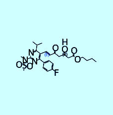 CCCCOC(=O)C[C@H](O)CC(=O)/C=C/c1c(-c2ccc(F)cc2)nc(N(C)S(C)(=O)=O)nc1C(C)C